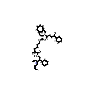 C=C/C(=C\C=C/C)C(CNC(=O)C(C)CCCCNC(=O)[C@@H]1CC2=CC=CC=C(C2)CN1C(=O)CCC(=O)c1ccccc1)c1ccccc1